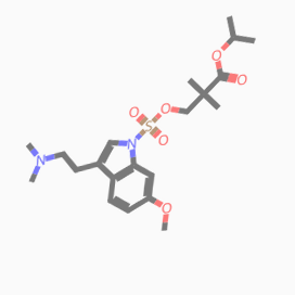 COc1ccc2c(CCN(C)C)cn(S(=O)(=O)OCC(C)(C)C(=O)OC(C)C)c2c1